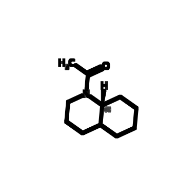 CC(=O)N1CCCC2CCCC[C@H]21